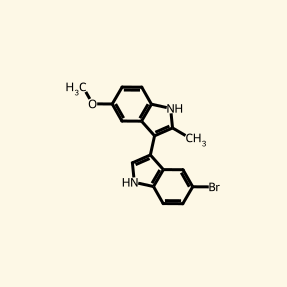 COc1ccc2[nH]c(C)c(-c3c[nH]c4ccc(Br)cc34)c2c1